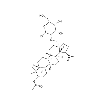 C=C(C)[C@@H]1CC[C@]2(CO[C@@H]3[C@@H](O)[C@@H](O)[C@@H](CO)O[C@H]3O)CC[C@]3(C)[C@H](CC[C@@H]4[C@@]5(C)CCC(OC(C)=O)C(C)(C)[C@@H]5CC[C@]43C)[C@@H]12